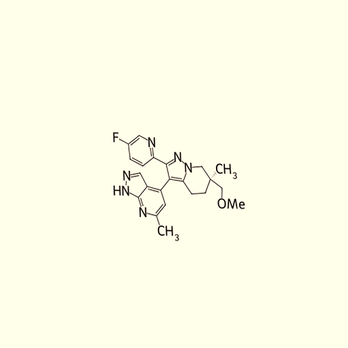 COC[C@@]1(C)CCc2c(-c3cc(C)nc4[nH]ncc34)c(-c3ccc(F)cn3)nn2C1